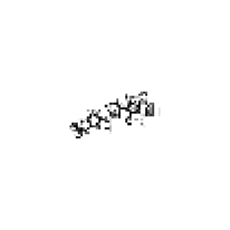 Cc1c(-c2ccnc(Nc3ccc4c(c3)CS(=O)(=O)C4)n2)c(C)n2c1CNCC2=O